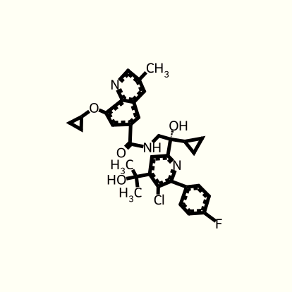 Cc1cnc2c(OC3CC3)cc(C(=O)NC[C@](O)(c3cc(C(C)(C)O)c(Cl)c(-c4ccc(F)cc4)n3)C3CC3)cc2c1